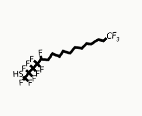 FC(CCCCCCCCCCCC(F)(F)F)C(F)(F)C(F)(F)C(F)(F)C(F)(F)S